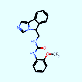 O=C(NCC1c2ccccc2-c2cncn21)Nc1ccccc1OC(F)(F)F